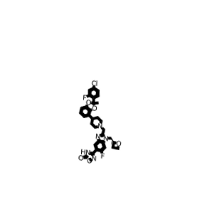 CC1(c2ccc(Cl)cc2F)Oc2cccc(C3CCN(Cc4nc5cc(-c6noc(=O)[nH]6)c(F)cc5n4C[C@@H]4CCO4)CC3)c2O1